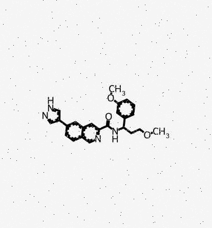 COCCC(NC(=O)c1cc2cc(-c3cn[nH]c3)ccc2cn1)c1cccc(OC)c1